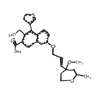 COC1(C=CCOc2ccc3c(-c4ccsc4)c(CO)c(C(=O)O)cc3c2)CCOC(C)C1